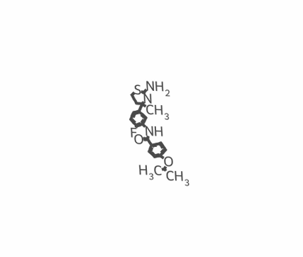 CC(C)Oc1ccc(C(=O)Nc2cc(C3(C)CCSC(N)=N3)ccc2F)cc1